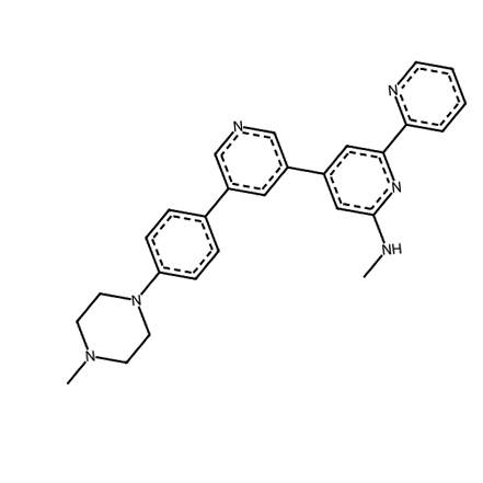 CNc1cc(-c2cncc(-c3ccc(N4CCN(C)CC4)cc3)c2)cc(-c2ccccn2)n1